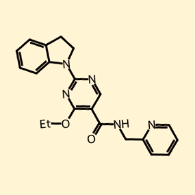 CCOc1nc(N2CCc3ccccc32)ncc1C(=O)NCc1ccccn1